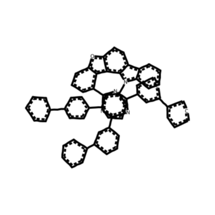 c1ccc(-c2ccc(-c3cccc(-n4c5ccccc5c5ccc6oc7cccc(-c8nc(-c9cccc(-c%10ccccc%10)c9)nc(-c9cccc(-c%10ccccc%10)c9)n8)c7c6c54)c3)cc2)cc1